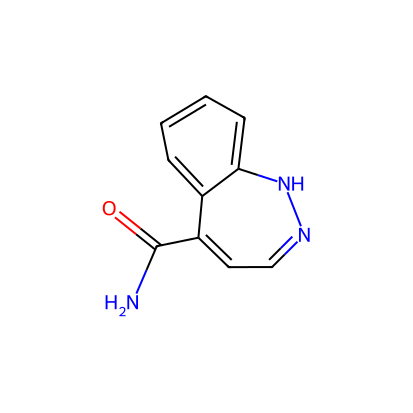 NC(=O)C1=CC=NNc2ccccc21